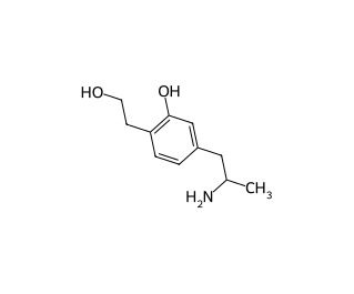 CC(N)Cc1ccc(CCO)c(O)c1